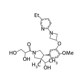 CCc1ccc(N2CC(Oc3cc([C@@H]4CN(C(=O)C(O)CO)C[C@@]4(C)C(C)O)ccc3OC)C2)nc1